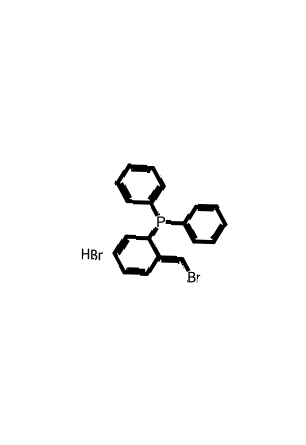 Br.BrC=C1C=CC=CC1P(c1ccccc1)c1ccccc1